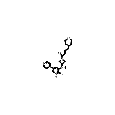 O=C(C=CCC1CCOCC1)N1CC(Nc2cc(-c3ccncc3)c[nH]c2=O)C1